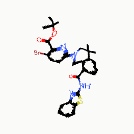 CC(C)(C)OC(=O)c1nc(N2Cc3c(C(=O)Nc4nc5ccccc5s4)cccc3C(C)(C)C2)ccc1Br